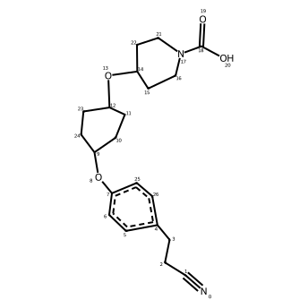 N#CCCc1ccc(OC2CCC(OC3CCN(C(=O)O)CC3)CC2)cc1